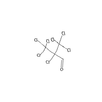 O=[C]C(Cl)(C(Cl)(Cl)Cl)C(Cl)(Cl)Cl